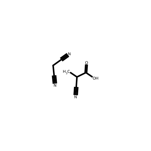 CC(C#N)C(=O)O.N#CCC#N